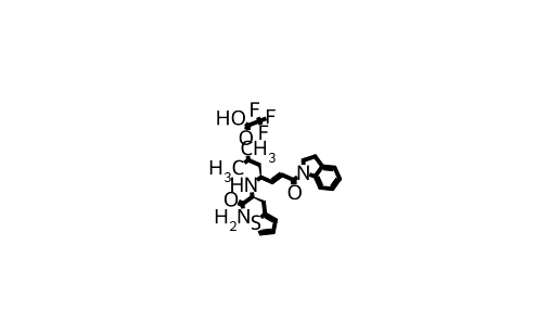 CC(C)C[C@@H](/C=C/C(=O)N1CCc2ccccc21)N[C@@H](Cc1cccs1)C(N)=O.O=C(O)C(F)(F)F